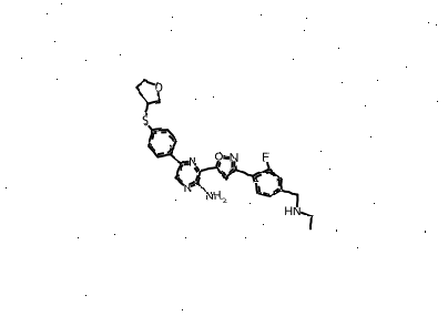 CCNCc1ccc(-c2cc(-c3nc(-c4ccc(SC5CCOC5)cc4)cnc3N)on2)c(F)c1